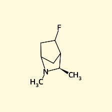 C[C@@H]1C2CC(CC2F)N1C